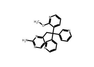 COc1ncccc1C(Cc1ccnc(N)n1)(c1cccnc1)c1cccnc1